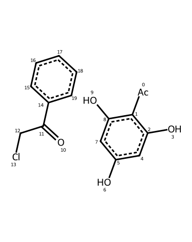 CC(=O)c1c(O)cc(O)cc1O.O=C(CCl)c1ccccc1